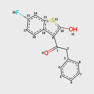 O=C(Cc1ccccc1)c1c(O)sc2cc(F)ccc12